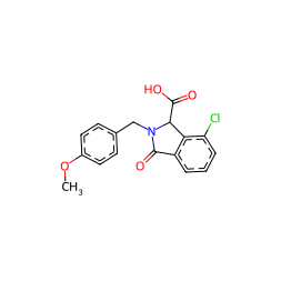 COc1ccc(CN2C(=O)c3cccc(Cl)c3C2C(=O)O)cc1